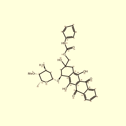 CO[C@@H]1[C@@H](N)C[C@H](O[C@H]2CC(O)(COC(=O)Nc3ccccc3)Cc3c(O)c4c(c(O)c32)C(=O)c2ccccc2C4=O)O[C@@H]1C